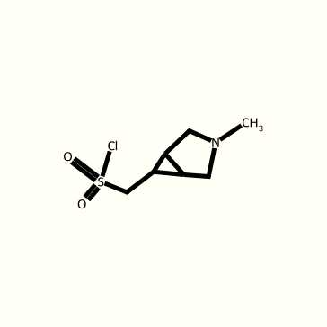 CN1CC2C(C1)C2CS(=O)(=O)Cl